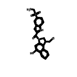 CCS(=O)(=O)c1ccc2[nH]c(C(=O)N3CC(CCl)c4c3cc(O)c3ccccc43)cc2c1